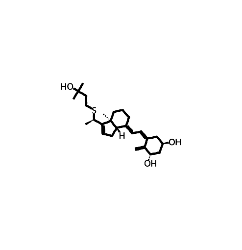 C=C1C(=CC=C2CCC[C@]3(C)C([C@@H](C)SCCC(C)(C)O)=CC[C@@H]23)C[C@@H](O)C[C@@H]1O